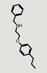 CCCc1ccc(OCCNCc2ccccc2)cc1